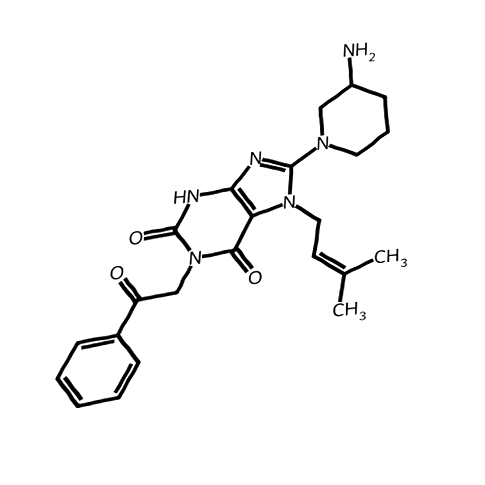 CC(C)=CCn1c(N2CCCC(N)C2)nc2[nH]c(=O)n(CC(=O)c3ccccc3)c(=O)c21